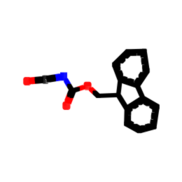 O=C=NC(=O)OCC1c2ccccc2-c2ccccc21